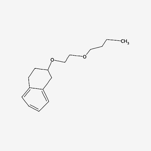 CCCCOCCOC1CCc2ccccc2C1